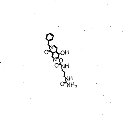 NC(=O)NCCCNC(=O)Oc1ncc2c(=O)n(Cc3ccccc3)ccc2c1O